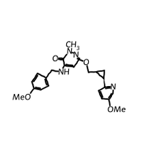 COc1ccc(CNc2cc(OCC3C[C@H]3c3ccc(OC)cn3)nn(C)c2=O)cc1